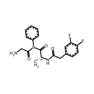 C[C@@H](NC(=O)Cc1ccc(F)c(F)c1)C(=O)N(C(=O)CN)c1ccccc1